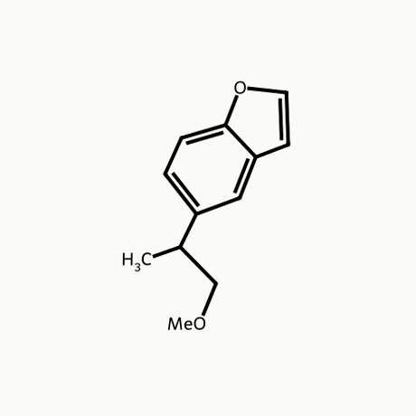 [CH2]OCC(C)c1ccc2occc2c1